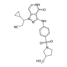 N#CCC(C1CC1)n1nc(Nc2ccc(S(=O)(=O)N3CCC(C(=O)O)C3)cc2)c2c(=O)[nH]ccc21